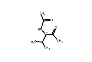 CC(=O)N[C@@H](C(C)=O)C(C)C